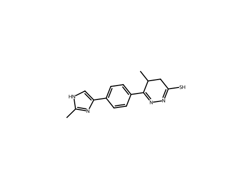 Cc1nc(-c2ccc(C3=NN=C(S)CC3C)cc2)c[nH]1